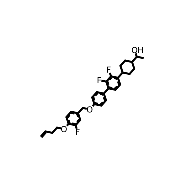 C=CCCOc1ccc(COc2ccc(-c3ccc(C4CCC(C(C)O)CC4)c(F)c3F)cc2)cc1F